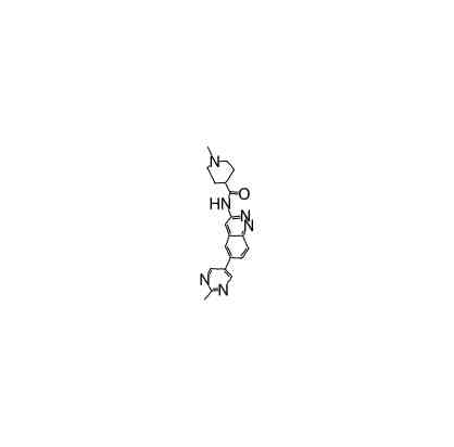 Cc1ncc(-c2ccc3nnc(NC(=O)C4CCN(C)CC4)cc3c2)cn1